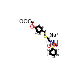 O=C([O-])COc1ccc(CSCCNS(=O)(=O)c2ccccc2)cc1.[Na+]